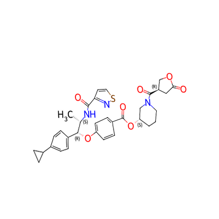 C[C@H](NC(=O)c1ccsn1)[C@H](Oc1ccc(C(=O)O[C@H]2CCCN(C(=O)[C@H]3COC(=O)C3)C2)cc1)c1ccc(C2CC2)cc1